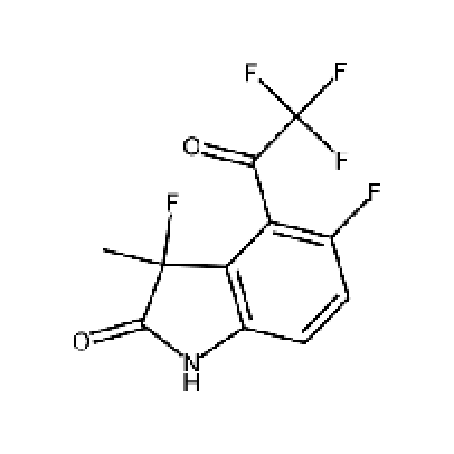 CC1(F)C(=O)Nc2ccc(F)c(C(=O)C(F)(F)F)c21